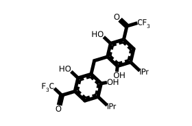 CC(C)c1cc(C(=O)C(F)(F)F)c(O)c(Cc2c(O)c(C(=O)C(F)(F)F)cc(C(C)C)c2O)c1O